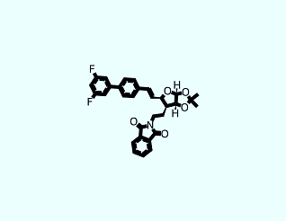 CC1(C)O[C@@H]2O[C@H](C=Cc3ccc(-c4cc(F)cc(F)c4)cc3)[C@H](CCN3C(=O)c4ccccc4C3=O)[C@@H]2O1